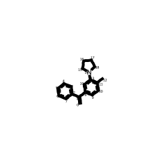 C=C(c1ccccc1)c1ccc(C)c(N2CCCC2)c1